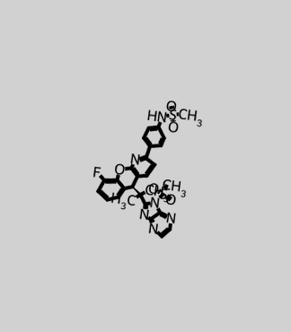 CC(C)(c1nc2nccnc2n1S(C)(=O)=O)[C@@H]1c2ccc(-c3ccc(NS(C)(=O)=O)cc3)nc2Oc2c(F)cccc21